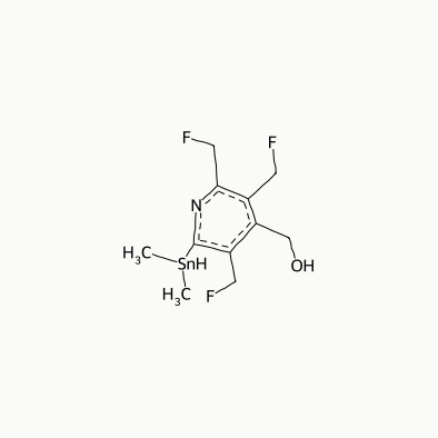 [CH3][SnH]([CH3])[c]1nc(CF)c(CF)c(CO)c1CF